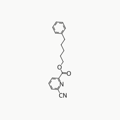 N#Cc1cccc(C(=O)OCCCCCc2ccccc2)n1